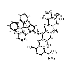 CNC(C)C1CCC(N)C(OC2C(N)CC(N)C(OC3OCC(C)(O)C(NC)C3O)C2O)O1.Clc1ccccc1C(c1ccccc1)(c1ccccc1)n1ccnc1